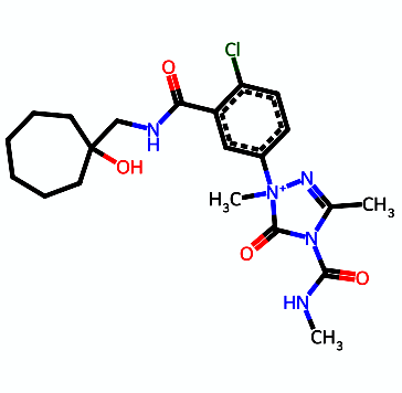 CNC(=O)N1C(=O)[N+](C)(c2ccc(Cl)c(C(=O)NCC3(O)CCCCCC3)c2)N=C1C